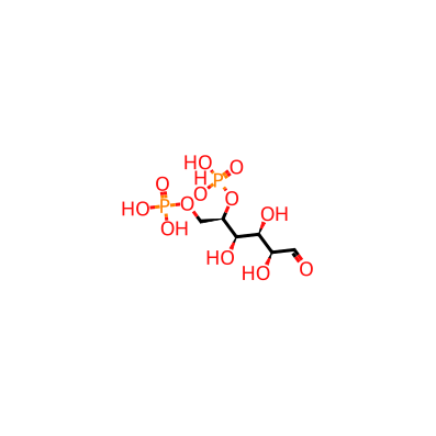 O=C[C@@H](O)[C@H](O)[C@@H](O)[C@@H](COP(=O)(O)O)OP(=O)(O)O